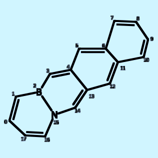 C1=CB2C=c3cc4ccccc4cc3=CN2C=C1